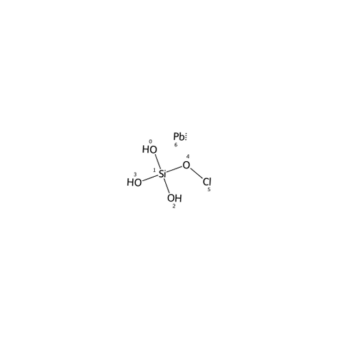 O[Si](O)(O)OCl.[Pb]